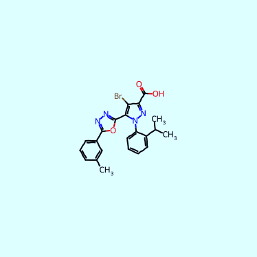 Cc1cccc(-c2nnc(-c3c(Br)c(C(=O)O)nn3-c3ccccc3C(C)C)o2)c1